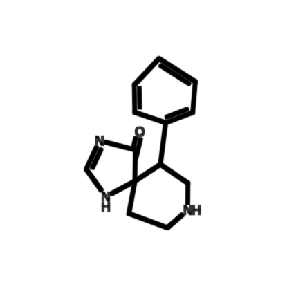 O=C1N=CNC12CCNCC2c1ccccc1